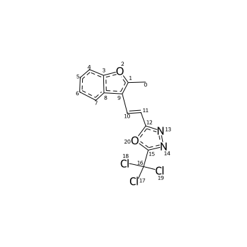 Cc1oc2ccccc2c1C=Cc1nnc(C(Cl)(Cl)Cl)o1